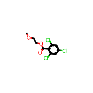 COCCOC(=O)c1c(Cl)cc(Cl)cc1Cl